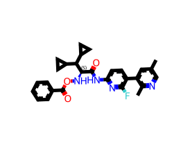 Cc1cnc(C)c(-c2ccc(NC(=O)[C@@H](NOC(=O)c3ccccc3)C(C3CC3)C3CC3)nc2F)c1